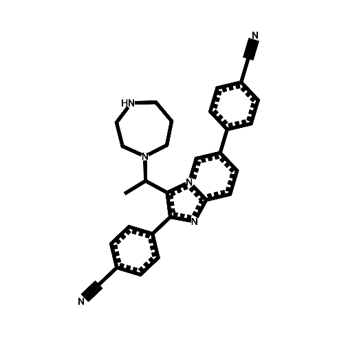 CC(c1c(-c2ccc(C#N)cc2)nc2ccc(-c3ccc(C#N)cc3)cn12)N1CCCNCC1